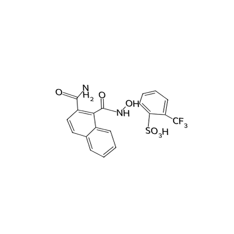 NC(=O)c1ccc2ccccc2c1C(=O)NO.O=S(=O)(O)c1ccccc1C(F)(F)F